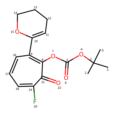 CC(C)(C)OC(=O)Oc1c(C2=CCCCO2)cccc(F)c1=O